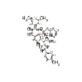 Cc1ccc(-c2noc(Cc3cc4c(OCCC5CCCCN5C(=O)OC(C)(C)C)c(-c5cc(C)cc(C)c5)c(=O)[nH]c4cc3Cl)n2)cc1